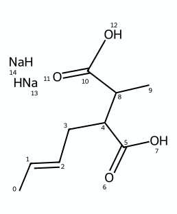 CC=CCC(C(=O)O)C(C)C(=O)O.[NaH].[NaH]